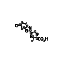 Cc1nc(-c2nc3ccc(Cl)cc3o2)cnc1C(=O)O